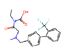 CCN(C(=O)O)C(=O)CN(C)Cc1ccc(-c2ccccc2C(F)(F)F)cc1